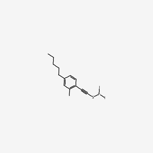 CCCCCc1ccc(C#CSP(I)I)c(C)c1